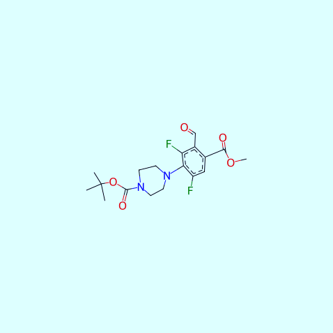 COC(=O)c1cc(F)c(N2CCN(C(=O)OC(C)(C)C)CC2)c(F)c1C=O